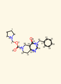 O=C(OCN1CCCC1)N1CCc2ncn(Cc3ccccc3)c(=O)c2C1